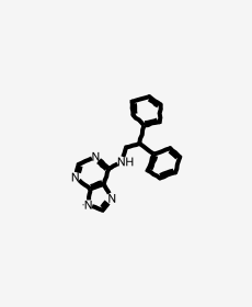 C1=Nc2c(ncnc2NCC(c2ccccc2)c2ccccc2)[N]1